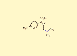 CCOC(=O)C1(c2ccc(C)cc2)CC1CN(C)C